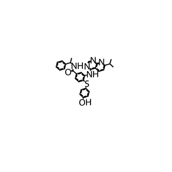 CC(C)c1ccc2c(Nc3cc(C(=O)NC(C)c4ccccc4)ccc3Sc3ccc(O)cc3)ncnc2n1